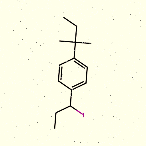 CCC(I)c1ccc(C(C)(C)CC)cc1